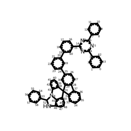 c1ccc(-c2nc(-c3ccccc3)nc(-c3cccc(-c4cccc(-c5ccc6c(c5)C5(c7ccccc7-6)c6ccccc6N6c7c(cccc75)NC6c5ccccc5)c4)c3)n2)cc1